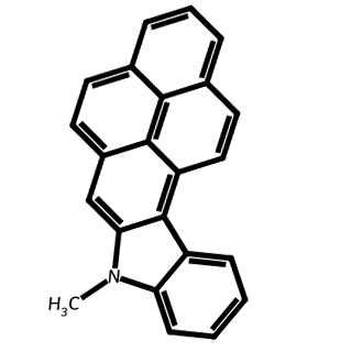 Cn1c2ccccc2c2c3ccc4cccc5ccc(cc21)c3c54